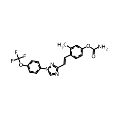 Cc1cc(OC(N)=O)ccc1/C=C/c1ncn(-c2ccc(OC(F)(F)F)cc2)n1